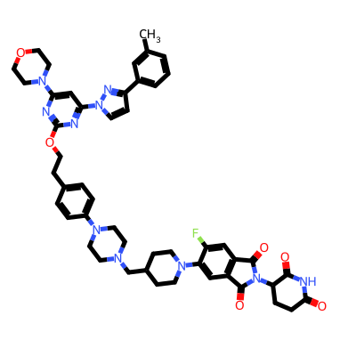 Cc1cccc(-c2ccn(-c3cc(N4CCOCC4)nc(OCCc4ccc(N5CCN(CC6CCN(c7cc8c(cc7F)C(=O)N(C7CCC(=O)NC7=O)C8=O)CC6)CC5)cc4)n3)n2)c1